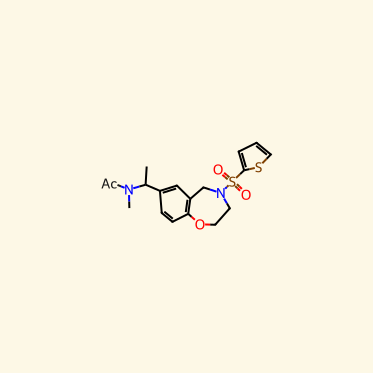 CC(=O)N(C)C(C)c1ccc2c(c1)CN(S(=O)(=O)c1cccs1)CCO2